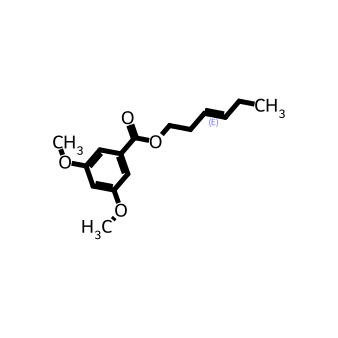 CC/C=C/CCOC(=O)c1cc(OC)cc(OC)c1